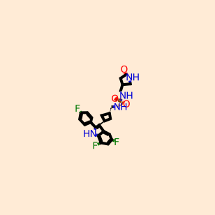 O=C1CC(CNS(=O)(=O)NC[C@H]2C[C@H](c3c(-c4ccc(F)cc4)[nH]c4c(F)cc(F)cc43)C2)CN1